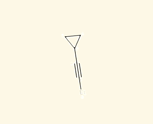 CCC#C[C]1CC1